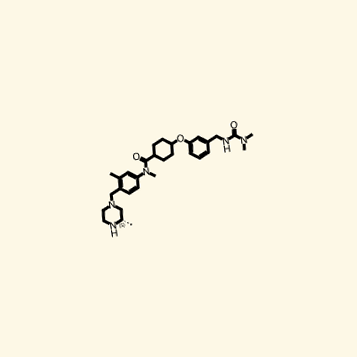 Cc1cc(N(C)C(=O)C2CCC(Oc3cccc(CNC(=O)N(C)C)c3)CC2)ccc1CN1CCN[C@@H](C)C1